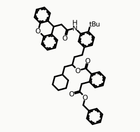 CC(C)(C)c1ccc(CCC(CC2CCCCC2)OC(=O)c2ccccc2CC(=O)OCc2ccccc2)cc1NC(=O)CC1c2ccccc2Oc2ccccc21